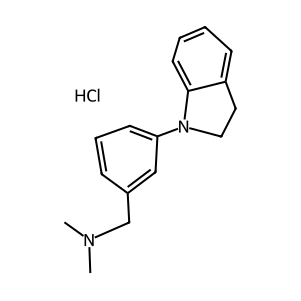 CN(C)Cc1cccc(N2CCc3ccccc32)c1.Cl